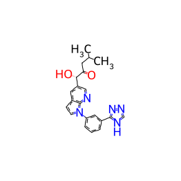 CC(C)CC(=O)[C@@H](O)c1cnc2c(ccn2-c2cccc(-c3nnc[nH]3)c2)c1